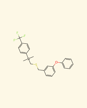 C[Si](C)(CSCc1cccc(Oc2ccccc2)c1)c1ccc(C(F)(F)F)cc1